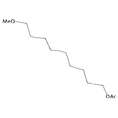 COCCCCCCCCCOC(C)=O